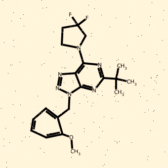 COc1ccccc1Cn1nnc2c(N3CCC(F)(F)C3)nc(C(C)(C)C)nc21